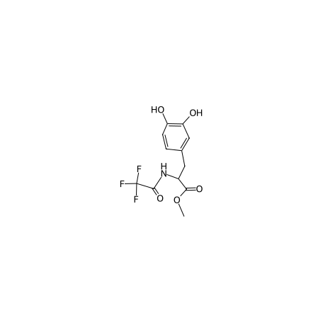 COC(=O)C(Cc1ccc(O)c(O)c1)NC(=O)C(F)(F)F